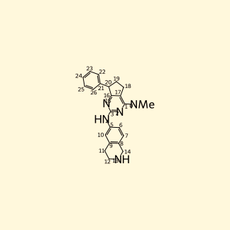 CNc1nc(Nc2ccc3c(c2)CCNC3)nc2c1CCC2c1ccccc1